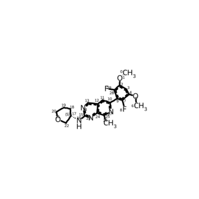 COc1cc(OC)c(F)c(-c2cc3cnc(N[C@H]4CCCOC4)nc3c(C)n2)c1F